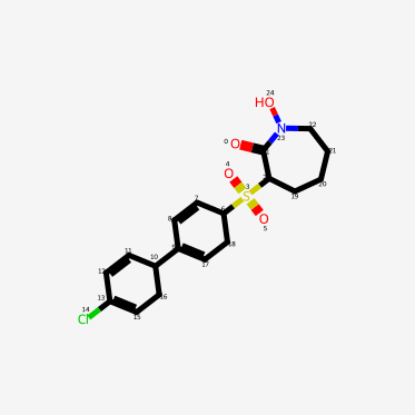 O=C1C(S(=O)(=O)C2C=CC(C3C=CC(Cl)=CC3)=CC2)CCCCN1O